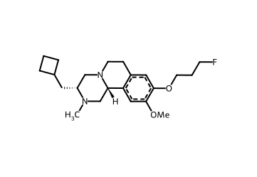 COc1cc2c(cc1OCCCF)CCN1C[C@@H](CC3CCC3)N(C)C[C@@H]21